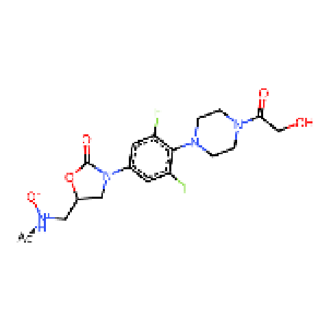 CC(=O)[N@@H+]([O-])CC1CN(c2cc(F)c(N3CCN(C(=O)CO)CC3)c(F)c2)C(=O)O1